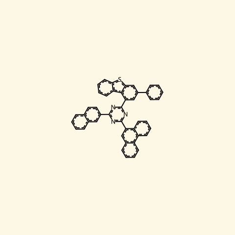 c1ccc(-c2cc(-c3nc(-c4ccc5ccccc5c4)nc(-c4cc5ccccc5c5ccccc45)n3)c3c(c2)sc2ccccc23)cc1